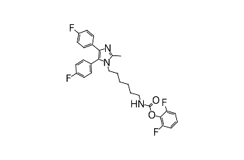 Cc1nc(-c2ccc(F)cc2)c(-c2ccc(F)cc2)n1CCCCCCNC(=O)Oc1c(F)cccc1F